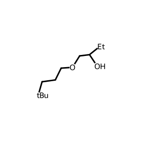 CCC(O)COCCCC(C)(C)C